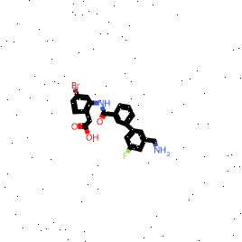 NCc1cc(F)cc(-c2cccc(C(=O)Nc3cc(Br)ccc3CC(=O)O)c2)c1